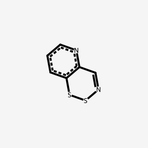 C1=NSSc2cccnc21